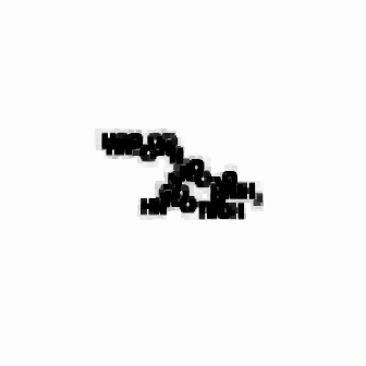 NNC(=O)/C=C/c1ccc(CN2C(=O)CC(N3CC4(CCCC(=O)N4Cc4ccc(CC(=O)NO)cc4)C3)CC23CN(C2CCC4(CNC4)N(Cc4ccc(C#CC(=O)NO)cc4)C2=O)C3)cc1